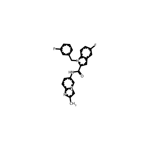 Cc1cn2cc(NC(=O)c3cc4cc(F)ccc4n3Cc3cccc(F)c3)ccc2n1